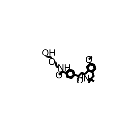 COc1ccc2c(c1)/C(=C/C(=O)c1ccc(C(=O)NCCOCCO)cc1)NC(C)(C)C2